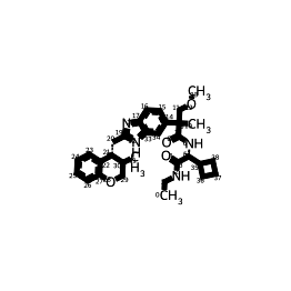 CCNC(=O)[C@H](NC(=O)C(C)(COC)c1ccc2nc(C[C@H]3c4ccccc4OCC3C)[nH]c2c1)C1CCC1